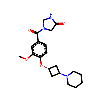 COc1cc(C(=O)N2CNC(=O)C2)ccc1O[C@H]1C[C@H](N2CCCCC2)C1